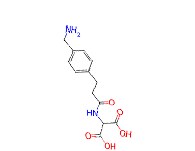 NCc1ccc(CCC(=O)NC(C(=O)O)C(=O)O)cc1